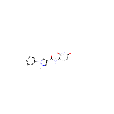 O=C1CCC(NC(=O)c2cnn(-c3ccccc3)c2)C(=O)N1